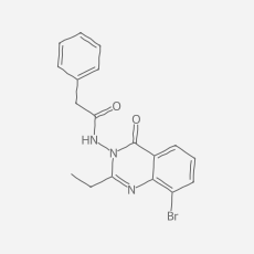 CCc1nc2c(Br)cccc2c(=O)n1NC(=O)Cc1ccccc1